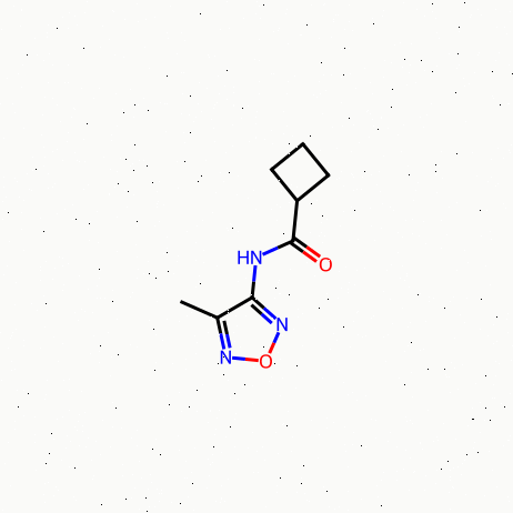 Cc1nonc1NC(=O)C1CCC1